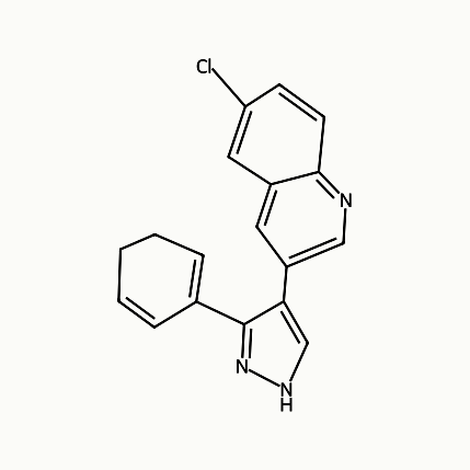 Clc1ccc2ncc(-c3c[nH]nc3C3=CCCC=C3)cc2c1